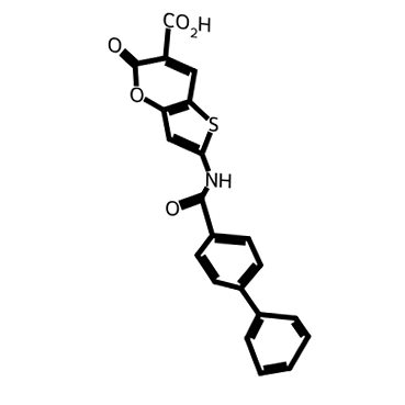 O=C(Nc1cc2oc(=O)c(C(=O)O)cc2s1)c1ccc(-c2ccccc2)cc1